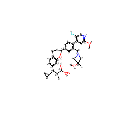 COc1cc(-c2ccc(C3CCc4ccc(C(C5CC5)[C@H](C)C(=O)O)cc4O3)cc2CN2CC(C)(OC)C2)c(F)cn1